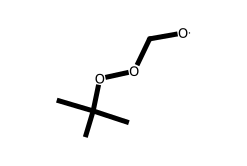 CC(C)(C)OOC[O]